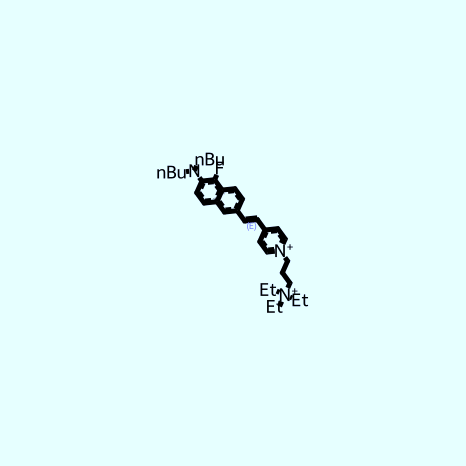 CCCCN(CCCC)c1ccc2cc(/C=C/c3cc[n+](CCC[N+](CC)(CC)CC)cc3)ccc2c1F